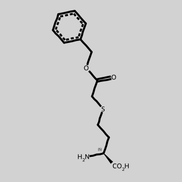 N[C@@H](CCSCC(=O)OCc1ccccc1)C(=O)O